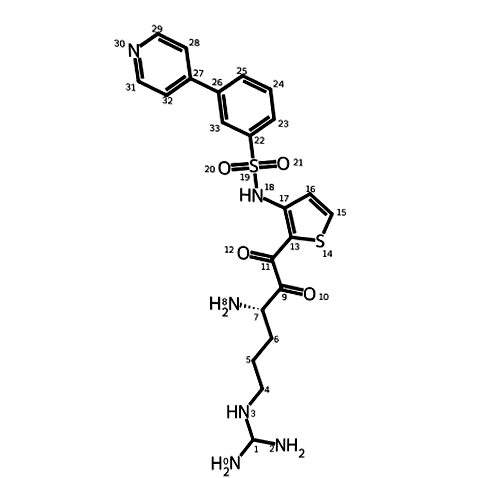 NC(N)NCCC[C@H](N)C(=O)C(=O)c1sccc1NS(=O)(=O)c1cccc(-c2ccncc2)c1